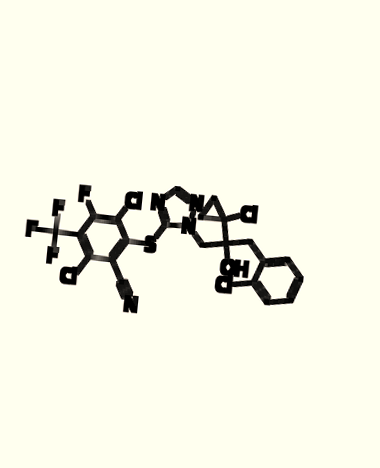 N#Cc1c(Cl)c(C(F)(F)F)c(F)c(Cl)c1Sc1ncnn1CC(O)(Cc1ccccc1Cl)C1(Cl)CC1